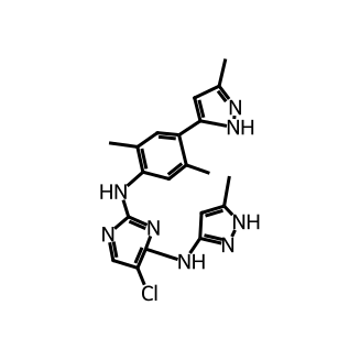 Cc1cc(-c2cc(C)c(Nc3ncc(Cl)c(Nc4cc(C)[nH]n4)n3)cc2C)[nH]n1